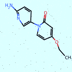 CCOc1ccn(-c2ccc(N)nc2)c(=O)c1